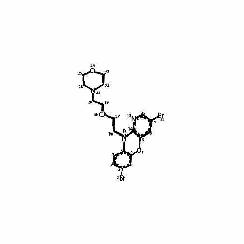 Brc1ccc2c(c1)Oc1cc(Br)cnc1N2CCOCCN1CCOCC1